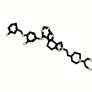 OCC(CO)N1CCC(CCn2cc3c(n2)CCc2c-3sc3ncnc(Nc4ccc(OCc5cccc(F)c5)c(Cl)c4)c23)CC1